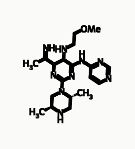 COCCNC1C(Nc2ccncn2)=NC(N2C[C@H](C)NC[C@H]2C)=NC1C(C)=N